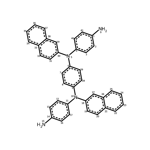 Nc1ccc(N(c2ccc(N(c3ccc(N)cc3)c3ccc4ccccc4c3)cc2)c2ccc3ccccc3c2)cc1